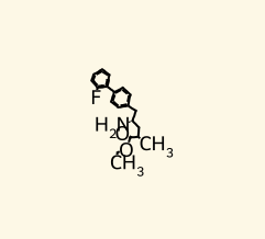 CCOC(=O)C(C)C[C@H](N)Cc1ccc(-c2ccccc2F)cc1